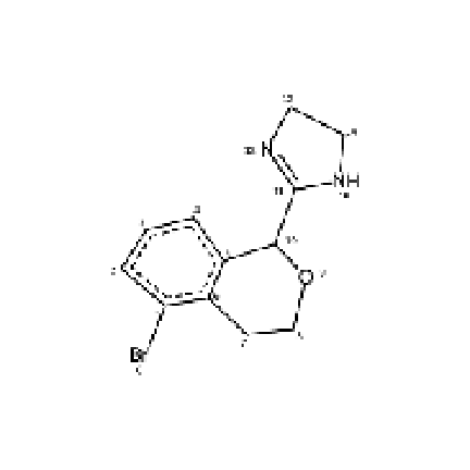 Brc1cccc2c1CCOC2C1=NCCN1